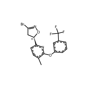 Cc1ccc([C@H]2CC(Br)=NO2)nc1Oc1cccc(C(F)(F)F)c1